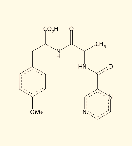 COc1ccc(CC(NC(=O)C(C)NC(=O)c2cnccn2)C(=O)O)cc1